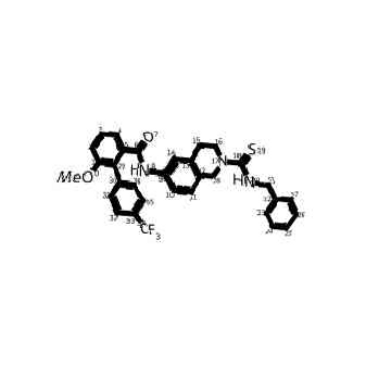 COc1cccc(C(=O)Nc2ccc3c(c2)CCN(C(=S)NCc2ccccc2)C3)c1-c1ccc(C(F)(F)F)cc1